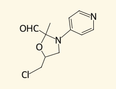 CC1(C=O)OC(CCl)CN1c1ccncc1